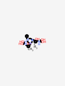 Cc1cc(CNC(CO)CO)c(O)c(CN2CCCN(Cc3ccccc3)CCCN(Cc3cc(C)cc(CNC(CO)CO)c3O)CC2)c1